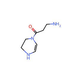 NCCC(=O)N1C=CNCC1